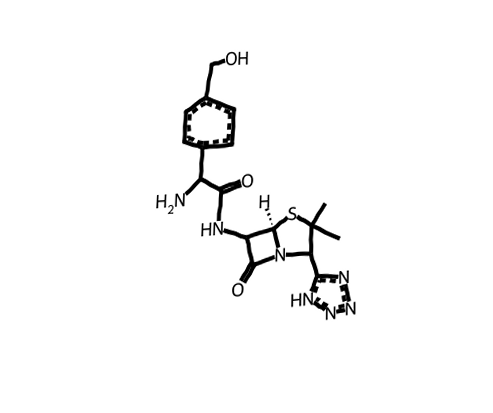 CC1(C)S[C@@H]2C(NC(=O)C(N)c3ccc(CO)cc3)C(=O)N2C1c1nnn[nH]1